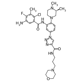 Cc1c(F)c(N)cc(C(=O)Nc2cc(-n3cc(C(=O)NCCCN4CCOCC4)nn3)ccc2N2CCN(C)[C@@H](C)C2)c1Cl